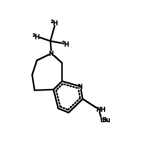 [2H]C([2H])([2H])N1CCCc2ccc(NC(C)(C)C)nc2C1